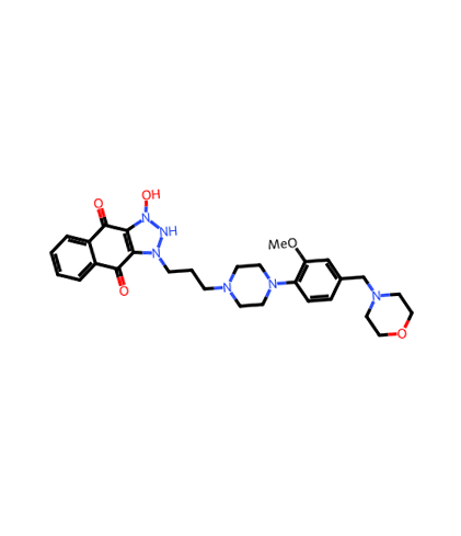 COc1cc(CN2CCOCC2)ccc1N1CCN(CCCn2[nH]n(O)c3c(=O)c4ccccc4c(=O)c2=3)CC1